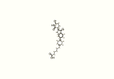 O=C(O)CCCCCN1CCN(c2ccc3c(c2)CN(C2CCC(=O)NC2=O)C3=O)CC1